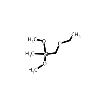 CCOC[Si](C)(OC)OC